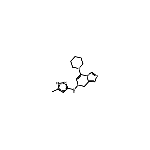 Cc1cc(NN2C=C(N3CCCCC3)[N+]3C=NC=C3C2)n[nH]1